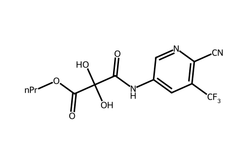 CCCOC(=O)C(O)(O)C(=O)Nc1cnc(C#N)c(C(F)(F)F)c1